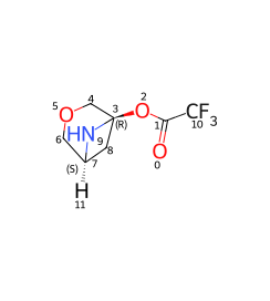 O=C(O[C@@]12COC[C@H](C1)N2)C(F)(F)F